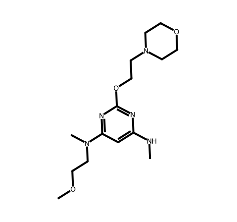 CNc1cc(N(C)CCOC)nc(OCCN2CCOCC2)n1